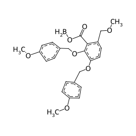 BOC(=O)c1c(COC)ccc(OCc2ccc(OC)cc2)c1OCc1ccc(OC)cc1